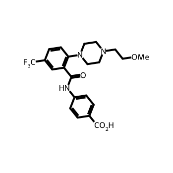 COCCN1CCN(c2ccc(C(F)(F)F)cc2C(=O)Nc2ccc(C(=O)O)cc2)CC1